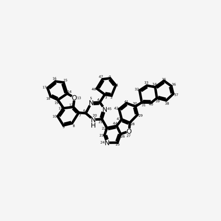 c1ccc(C2=NC(c3cccc4c3oc3ccccc34)NC(c3cncc4oc5cc(-c6ccc7ccccc7c6)ccc5c34)=N2)cc1